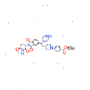 CC(C)(C)OC(=O)c1ccc(N2CCC(CC(c3ccc4c(c3)C(=O)N(C3CCC(=O)NC3=O)C4=O)N3CCNCC3)CC2)cc1